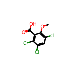 COc1c(Cl)cc(Cl)c(Cl)c1C(=O)O